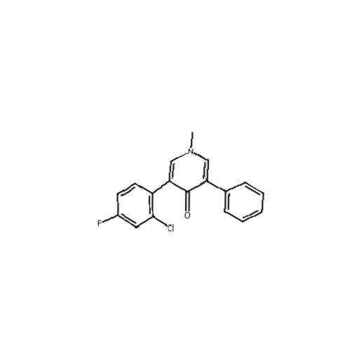 Cn1cc(-c2ccccc2)c(=O)c(-c2ccc(F)cc2Cl)c1